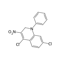 O=[N+]([O-])C1=C(Cl)c2ccc(Cl)cc2N(c2ccccc2)C1